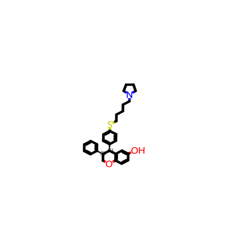 Oc1ccc2c(c1)[C@H](c1ccc(SCCCCCN3CCCC3)cc1)[C@H](c1ccccc1)CO2